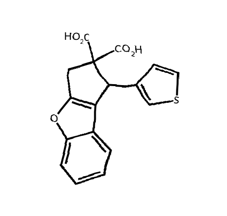 O=C(O)C1(C(=O)O)Cc2oc3ccccc3c2C1c1ccsc1